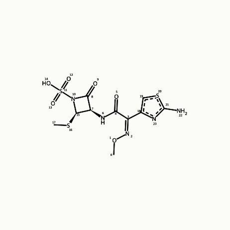 CON=C(C(=O)N[C@@H]1C(=O)N(S(=O)(=O)O)[C@@H]1SC)c1csc(N)n1